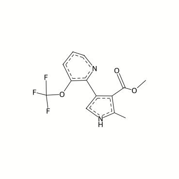 COC(=O)c1c(-c2ncccc2OC(F)(F)F)c[nH]c1C